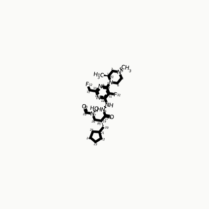 C[C@H]1CN(C)CCN1c1nc(CF)nc(NNC(=O)[C@H](CC2CCCC2)CN(O)C=O)c1F